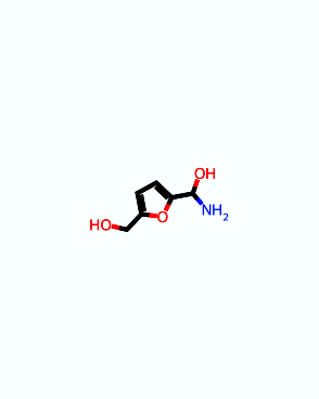 NC(O)c1ccc(CO)o1